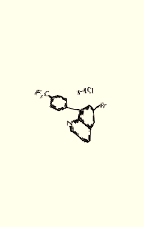 CC(C)c1cc(-c2ccc(C(F)(F)F)cc2)c2ncccc2c1.Cl